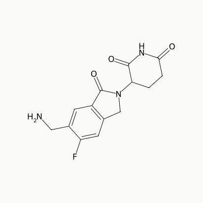 NCc1cc2c(cc1F)CN(C1CCC(=O)NC1=O)C2=O